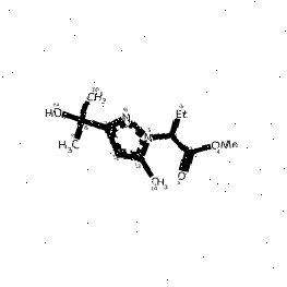 CCC(C(=O)OC)n1nc(C(C)(C)O)cc1C